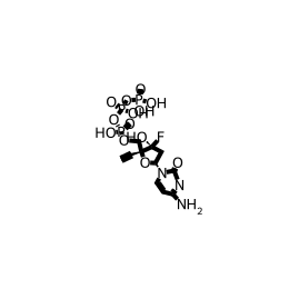 C#C[C@]1(COP(=O)(O)OP(=O)(O)OP(=O)(O)O)O[C@@H](n2ccc(N)nc2=O)C[C@]1(O)F